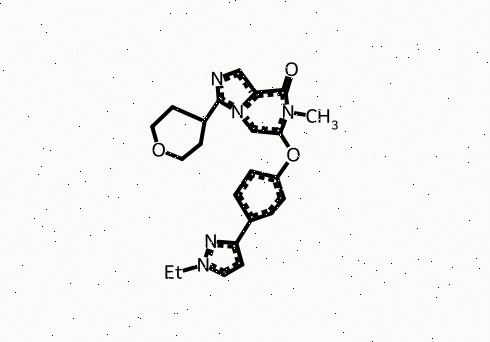 CCn1ccc(-c2ccc(Oc3cn4c(C5CCOCC5)ncc4c(=O)n3C)cc2)n1